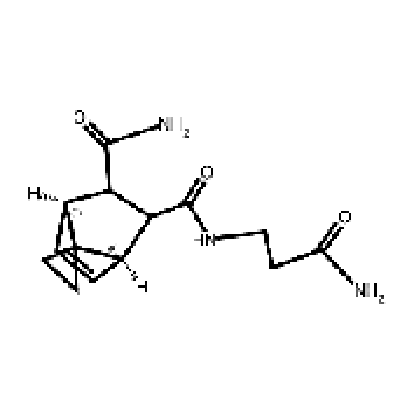 NC(=O)CCNC(=O)C1C(C(N)=O)[C@@H]2C=C[C@H]1C21CC1